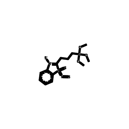 CO[Si](CCCC1=[N+]([S-])c2ccccc2S1(=S)=S=S)(OC)OC